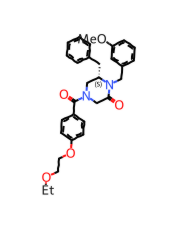 CCOCCOc1ccc(C(=O)N2CC(=O)N(Cc3cccc(OC)c3)[C@@H](Cc3ccccc3)C2)cc1